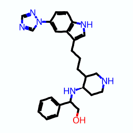 OCC(N[C@@H]1CCNCC1CCCc1c[nH]c2ccc(-n3cncn3)cc12)c1ccccc1